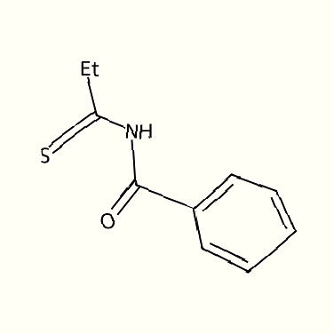 CCC(=S)NC(=O)c1ccccc1